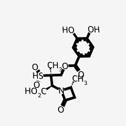 C[C@@H]1CC(=O)N1[C@@H](C(=O)O)[C@](C)(COC(=O)c1ccc(O)c(O)c1)[SH](=O)=O